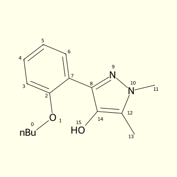 CCCCOc1ccccc1-c1nn(C)c(C)c1O